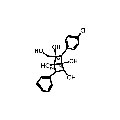 OC[C@]1(O)C(c2ccc(Cl)cc2)[C@]2(O)C(O)C(c3ccccc3)[C@@]21O